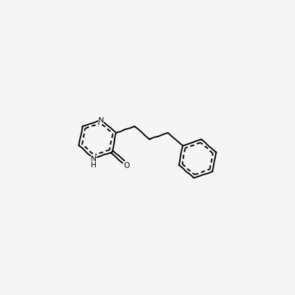 O=c1[nH]ccnc1CCCc1ccccc1